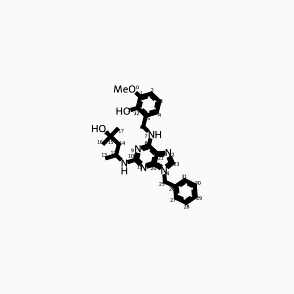 COc1cccc(CNc2nc(NC(C)CC(C)(C)O)nc3c2ncn3Cc2ccccc2)c1O